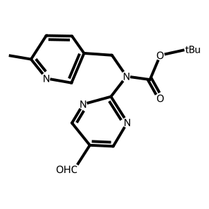 Cc1ccc(CN(C(=O)OC(C)(C)C)c2ncc(C=O)cn2)cn1